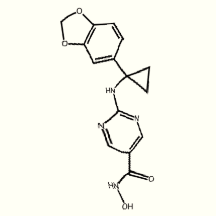 O=C(NO)c1cnc(NC2(c3ccc4c(c3)OCO4)CC2)nc1